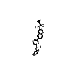 O=C(Nc1cc2cc(-c3cncc(NCC4(F)CNC4)n3)ccc2nn1)C1CC1